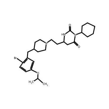 CC(C)Oc1ccc(Br)c(CC2CCN(CCC3CC(=O)N(C4CCCCC4)C(=O)N3)CC2)c1